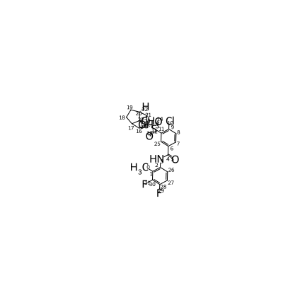 Cc1c(NC(=O)c2ccc(Cl)c(S(=O)(=O)[C@@H]3CC4CC[C@@H](C3)[C@]4(C)O)c2)ccc(F)c1F